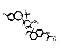 CNC(=O)Nc1ccc2c(c1)CCCC2(C=O)OC(=O)N(C)CC(=O)N1Cc2ccc(F)cc2CC[C@H]1C(F)(F)F